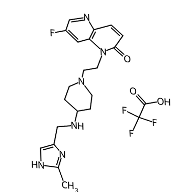 Cc1nc(CNC2CCN(CCn3c(=O)ccc4ncc(F)cc43)CC2)c[nH]1.O=C(O)C(F)(F)F